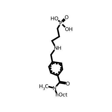 CCCCCCCCN(C)C(=O)c1ccc(CNCCCP(=O)(O)O)cc1